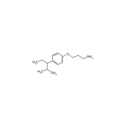 CCC(c1ccc(OCCCN)cc1)C(C)C